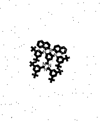 CC(C)(C)c1cc(-c2nc(-c3cc(C(C)(C)C)cc(C(C)(C)C)c3)nc(-c3cc4c5c(c3)N(c3cc(C(C)(C)C)cc(C(C)(C)C)c3)c3c(ccc6ccccc36)B5c3ccc5ccccc5c3N4c3cc(C(C)(C)C)cc(C(C)(C)C)c3)n2)cc(C(C)(C)C)c1